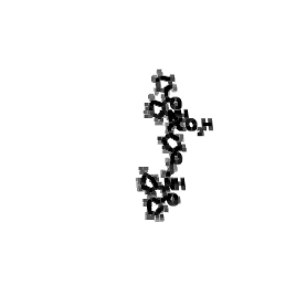 O=C(c1ccccc1)c1ccccc1NC(Cc1ccc(OCCCNC(C(=O)c2ccccc2)c2ccccc2)cc1)C(=O)O